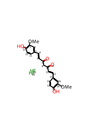 COc1cc(C=CC(=O)CC(=O)C=Cc2ccc(O)c(OC)c2)ccc1O.F.F